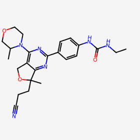 CCNC(=O)Nc1ccc(-c2nc(N3CCOCC3C)c3c(n2)C(C)(CCC#N)OC3)cc1